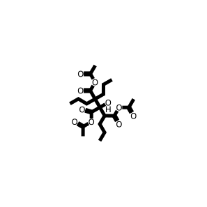 CCCC(C(=O)OC(C)=O)C(O)(C(=O)OC(C)=O)C(CCC)(CCC)C(=O)OC(C)=O